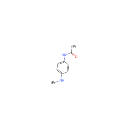 CCCC(=O)Nc1ccc(NC(C)C)cc1